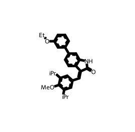 CCOc1cccc(-c2ccc3c(c2)NC(=O)C3=Cc2cc(C(C)C)c(OC)c(C(C)C)c2)c1